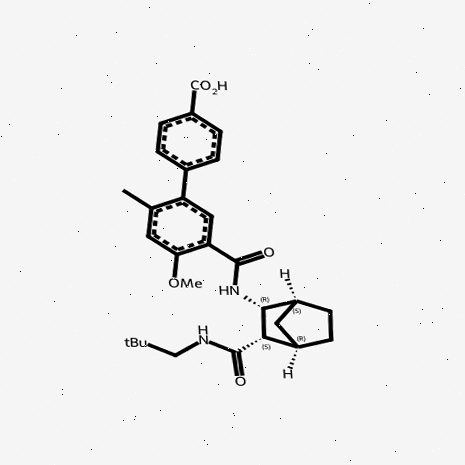 COc1cc(C)c(-c2ccc(C(=O)O)cc2)cc1C(=O)N[C@@H]1[C@H]2CC[C@H](C2)[C@@H]1C(=O)NCC(C)(C)C